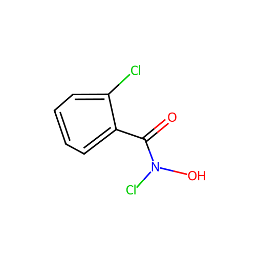 O=C(c1ccccc1Cl)N(O)Cl